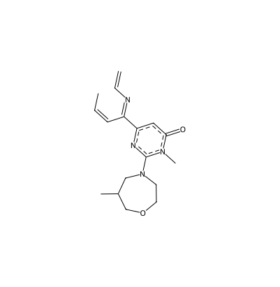 C=C/N=C(\C=C/C)c1cc(=O)n(C)c(N2CCOCC(C)C2)n1